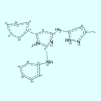 Cc1cc(Nc2cc(-c3ccccc3)nc(Nc3ccccc3)n2)[nH]n1